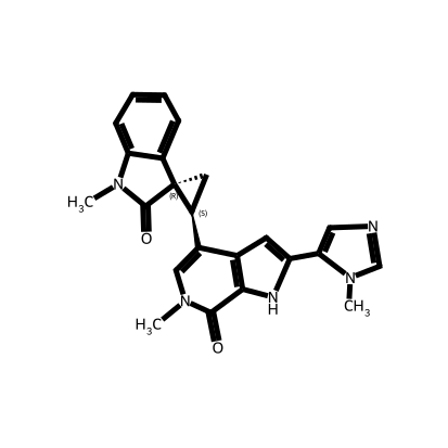 CN1C(=O)[C@@]2(C[C@H]2c2cn(C)c(=O)c3[nH]c(-c4cncn4C)cc23)c2ccccc21